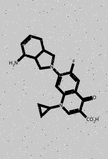 NC1C=CCC2CN(c3cc4c(cc3F)c(=O)c(C(=O)O)cn4C3CC3)CC12